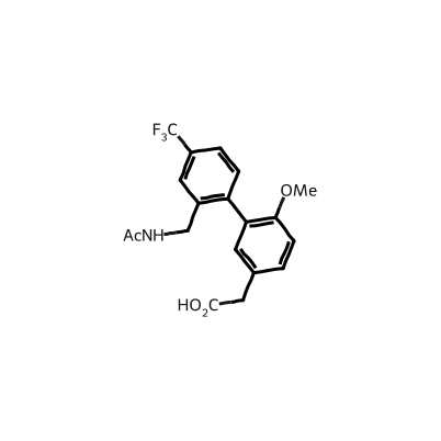 COc1ccc(CC(=O)O)cc1-c1ccc(C(F)(F)F)cc1CNC(C)=O